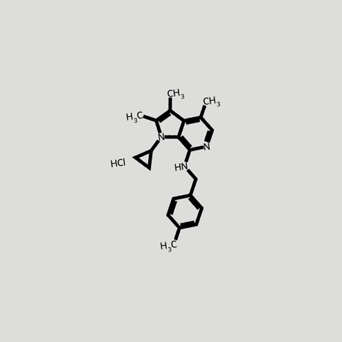 Cc1ccc(CNc2ncc(C)c3c(C)c(C)n(C4CC4)c23)cc1.Cl